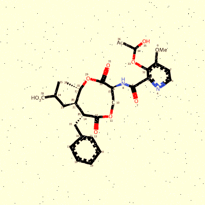 COc1ccnc(C(=O)N[C@H]2COC(=O)[C@H](Cc3ccccc3)[C@@H](CC(C)C(=O)O)[C@H](C)OC2=O)c1OC(O)C(C)=O